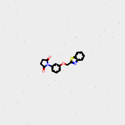 O=C1CCC(=O)N1c1cccc(OCc2nc3ccccc3s2)c1